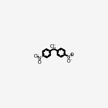 O=[N+]([O-])c1ccc([I+]c2ccc([N+](=O)[O-])cc2)cc1.[Cl-]